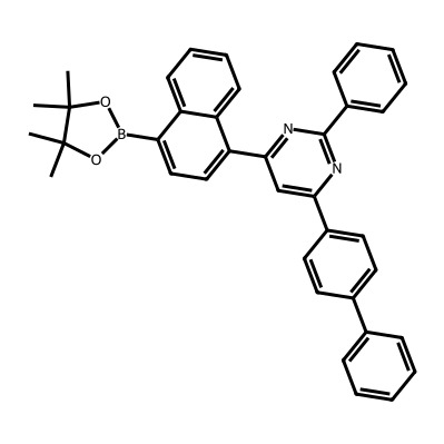 CC1(C)OB(c2ccc(-c3cc(-c4ccc(-c5ccccc5)cc4)nc(-c4ccccc4)n3)c3ccccc23)OC1(C)C